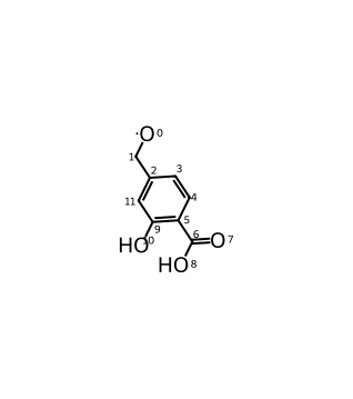 [O]Cc1ccc(C(=O)O)c(O)c1